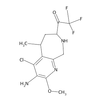 COc1nc2c(c(Cl)c1N)C(C)CC(C(=O)C(F)(F)F)NC2